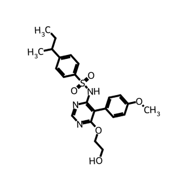 CCC(C)c1ccc(S(=O)(=O)Nc2ncnc(OCCO)c2-c2ccc(OC)cc2)cc1